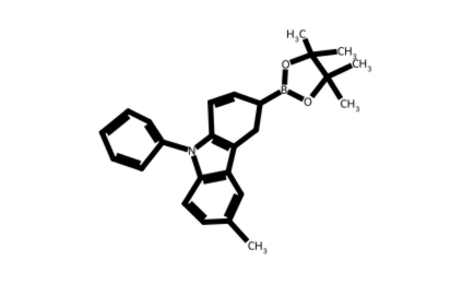 Cc1ccc2c(c1)c1c(n2-c2ccccc2)C=CC(B2OC(C)(C)C(C)(C)O2)C1